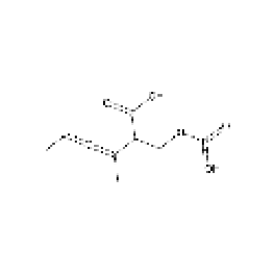 CC=C=C(C)C(CO[PH](=O)O)C(=O)O